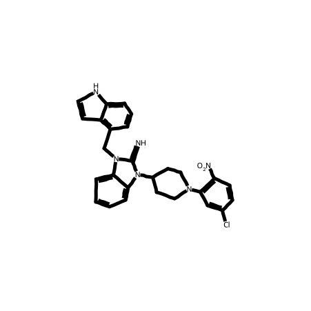 N=c1n(Cc2cccc3[nH]ccc23)c2ccccc2n1C1CCN(c2cc(Cl)ccc2[N+](=O)[O-])CC1